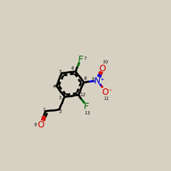 O=CCc1ccc(F)c([N+](=O)[O-])c1F